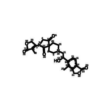 CC1=C(N2CC(=O)C3(CCN(C[C@H](O)c4ccc5c(c4C)COC5=O)CC3)C2=O)COC1=O